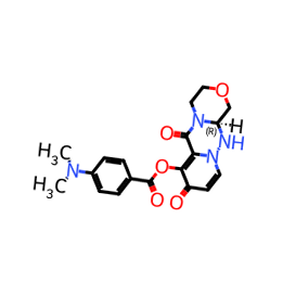 CN(C)c1ccc(C(=O)Oc2c3n(ccc2=O)N[C@@H]2COCCN2C3=O)cc1